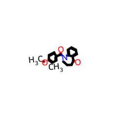 COc1ccc(C(=O)N2CCCC(=O)c3ccccc32)cc1C